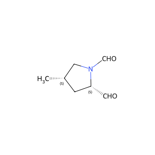 C[C@H]1C[C@@H](C=O)N(C=O)C1